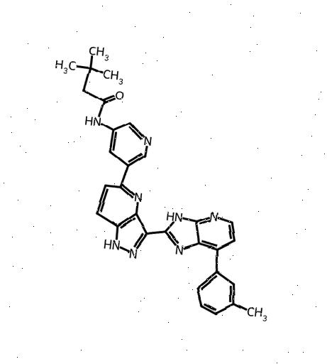 Cc1cccc(-c2ccnc3[nH]c(-c4n[nH]c5ccc(-c6cncc(NC(=O)CC(C)(C)C)c6)nc45)nc23)c1